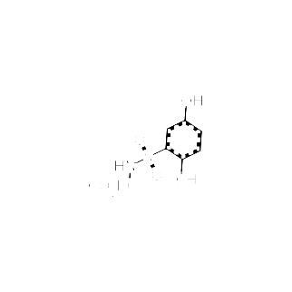 CCOC(=O)NS(=O)(=O)c1cc(O)ccc1C